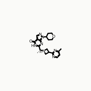 Cc1ccnc(C2CN([C@H](C)c3nc4c(cnn4C4CCOCC4)c(=O)[nH]3)C2)n1